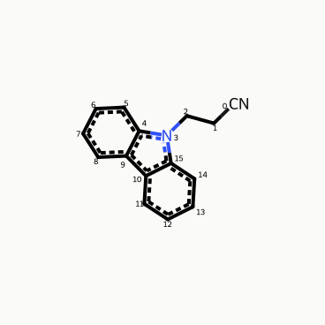 N#CCCn1c2ccccc2c2ccccc21